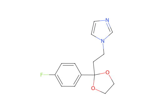 Fc1ccc(C2(CCn3ccnc3)OCCO2)cc1